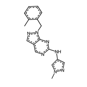 Cc1ccccc1Cn1ncc2cnc(Nc3cnn(C)c3)nc21